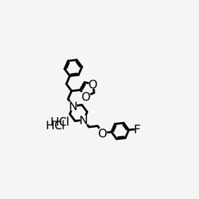 Cl.Cl.Fc1ccc(OCCN2CCN(CC(Cc3ccccc3)C3=COCO3)CC2)cc1